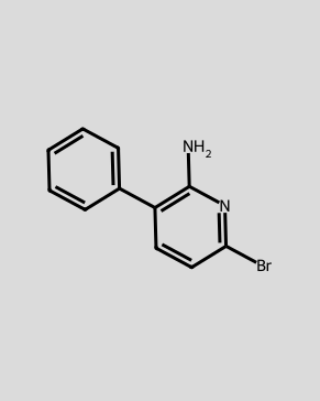 Nc1nc(Br)ccc1-c1ccccc1